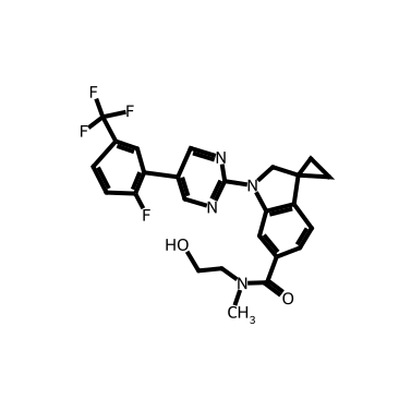 CN(CCO)C(=O)c1ccc2c(c1)N(c1ncc(-c3cc(C(F)(F)F)ccc3F)cn1)CC21CC1